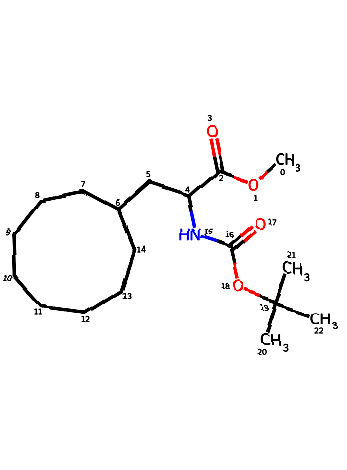 COC(=O)C(CC1CCCCCCCC1)NC(=O)OC(C)(C)C